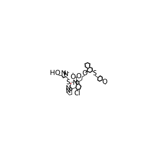 COC(=O)c1c(CCCOc2cc(SCc3ccc(OC)cc3)cc3ccccc23)c2ccc(Cl)c(-c3c(CSCc4cc(CO)nn4C)nn4c3CCC4)c2n1C